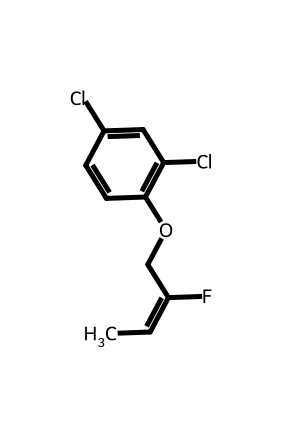 C/C=C(/F)COc1ccc(Cl)cc1Cl